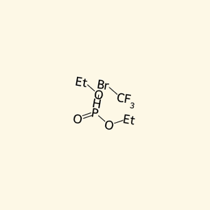 CCO[PH](=O)OCC.FC(F)(F)Br